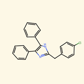 Clc1ccc(Cc2nc(-c3ccccc3)c(-c3ccccc3)[nH]2)cc1